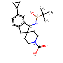 CC(C)(C)[S+]([O-])N[C@@H]1c2cc(C3CC3)ccc2CC12CCN(C(=O)O)CC2